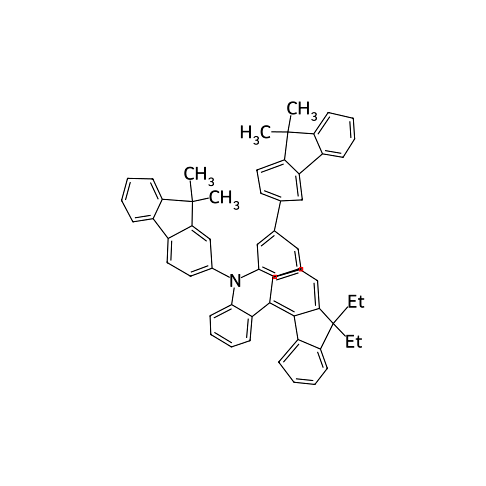 CCC1(CC)c2ccccc2-c2c(-c3ccccc3N(c3cccc(-c4ccc5c(c4)-c4ccccc4C5(C)C)c3)c3ccc4c(c3)C(C)(C)c3ccccc3-4)cccc21